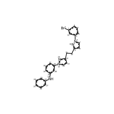 Brc1cccc(-n2ccc(CCc3ccn(-c4cccc(Nc5ccccc5)c4)n3)n2)c1